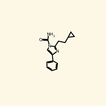 NC(=O)n1cc(-c2ccccc2)nc1CCC1CC1